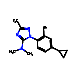 CC(C)c1cc(C2CC2)ccc1-n1nc(C(F)(F)F)nc1N(C)C